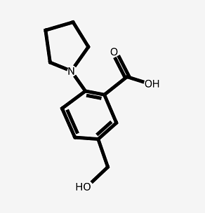 O=C(O)c1cc(CO)ccc1N1CCCC1